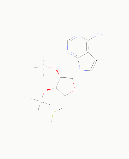 CC(=O)SC[C@H]1O[C@@H](n2ccc3c(N)ncnc32)[C@H](O[Si](C)(C)C(C)(C)C)[C@@H]1O[Si](C)(C)C(C)(C)C